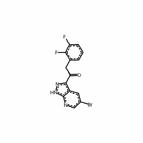 O=C(Cc1cccc(F)c1F)c1n[nH]c2ncc(Br)cc12